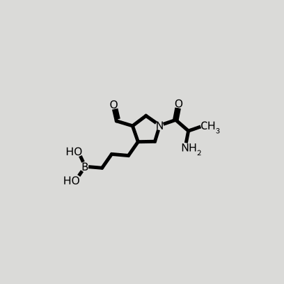 CC(N)C(=O)N1CC(C=O)C(CCCB(O)O)C1